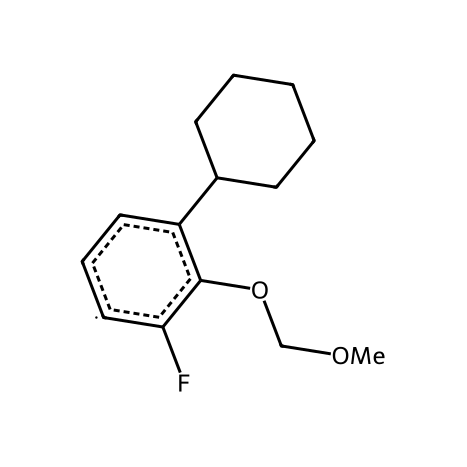 COCOc1c(F)[c]ccc1C1CCCCC1